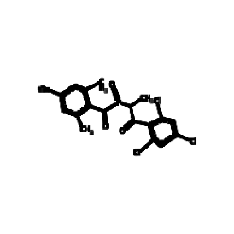 Cc1cc(C(C)(C)C)cc(C)c1C(=O)[P](=O)C(C)C(=O)c1c(Cl)cc(Cl)cc1Cl